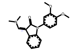 COc1ccc(N2C(=O)/C(=C\N(C)C)c3ccccc32)cc1OC